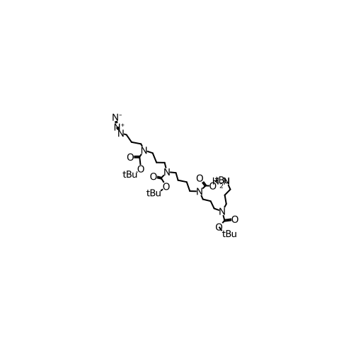 CC(C)(C)OC(=O)N(CCCN)CCCN(CCCCN(CCCN(CCCN=[N+]=[N-])C(=O)OC(C)(C)C)C(=O)OC(C)(C)C)C(=O)OC(C)(C)C